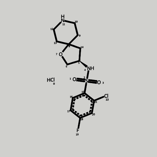 Cl.O=S(=O)(N[C@H]1COC2(CCNCC2)C1)c1ccc(F)cc1Cl